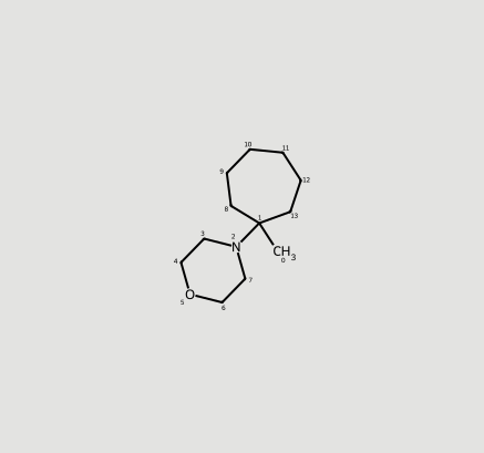 CC1(N2CCOCC2)CCCCCC1